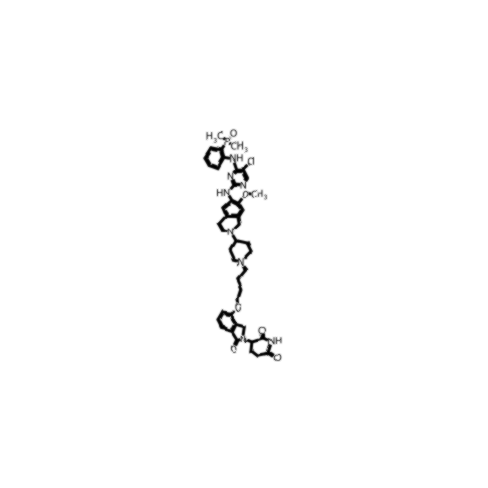 COc1cc2c(cc1Nc1ncc(Cl)c(Nc3ccccc3P(C)(C)=O)n1)CCN(C1CCN(CCCCOc3cccc4c3CN(C3CCC(=O)NC3=O)C4=O)CC1)C2